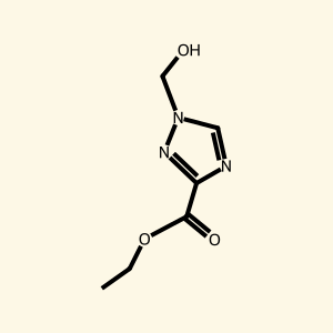 CCOC(=O)c1ncn(CO)n1